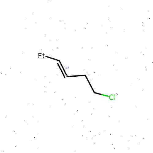 CC/C=C/CCCl